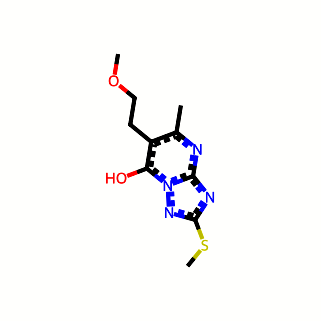 COCCc1c(C)nc2nc(SC)nn2c1O